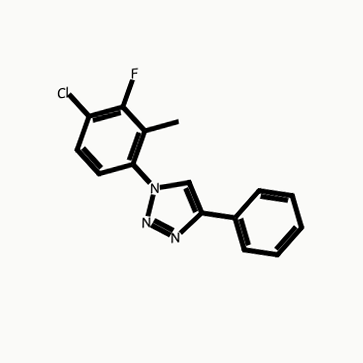 Cc1c(-n2cc(-c3ccccc3)nn2)ccc(Cl)c1F